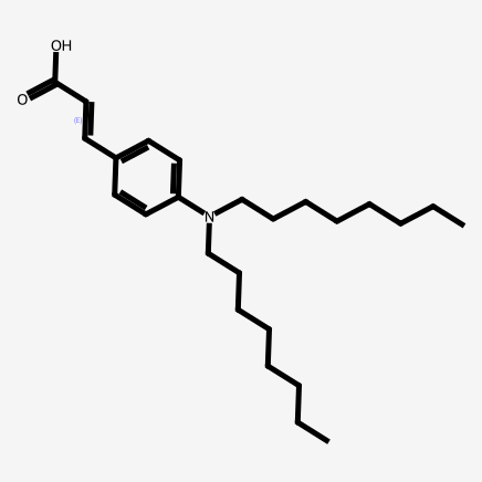 CCCCCCCCN(CCCCCCCC)c1ccc(/C=C/C(=O)O)cc1